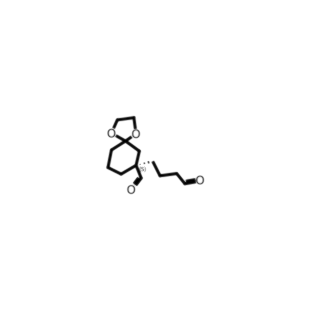 O=CCCC[C@]1(C=O)CCCC2(C1)OCCO2